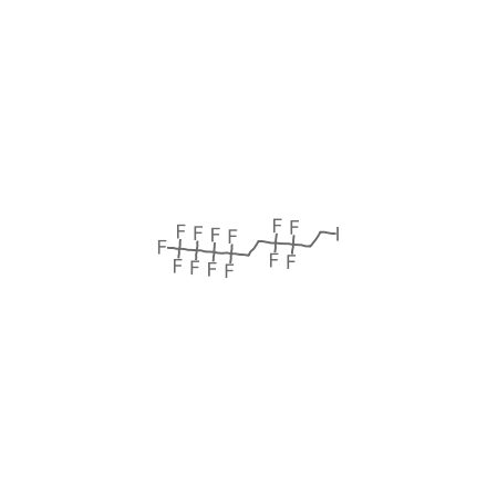 FC(F)(F)C(F)(F)C(F)(F)C(F)(F)CCC(F)(F)C(F)(F)CCI